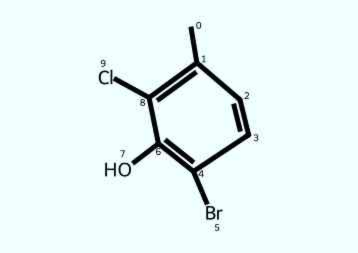 Cc1ccc(Br)c(O)c1Cl